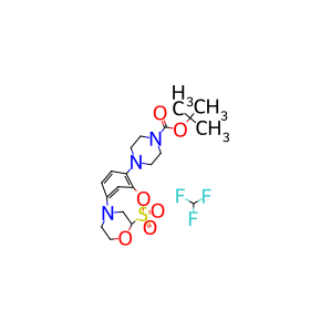 CC(C)(C)OC(=O)N1CCN(c2ccc3cc2OS(=O)(=O)C2CN3CCO2)CC1.FC(F)F